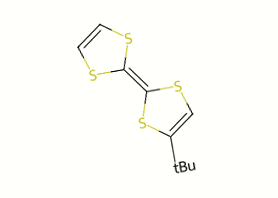 CC(C)(C)C1=CSC(=C2SC=CS2)S1